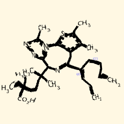 C=C/C=C\C(=C/C=C)C1=NC(C(C)(C)CC(C)(C)C(=O)O)c2nnc(C)n2-c2sc(C)c(C)c21